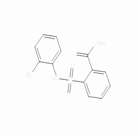 CCc1ccccc1NS(=O)(=O)c1ccccc1C(=O)OC